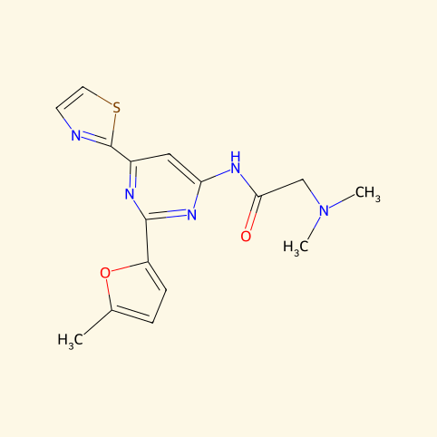 Cc1ccc(-c2nc(NC(=O)CN(C)C)cc(-c3nccs3)n2)o1